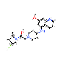 COc1cc(NC2CCN(CC(=O)N3C[C@@H](F)C[C@H]3C)CC2)c2cccnc2c1